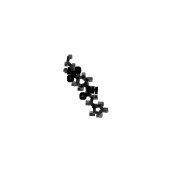 CCCN(C)S(=O)(=O)c1ccc(NC(=O)CCC2CCCC2)cc1